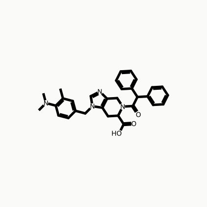 Cc1cc(Cn2cnc3c2CC(C(=O)O)N(C(=O)C(c2ccccc2)c2ccccc2)C3)ccc1N(C)C